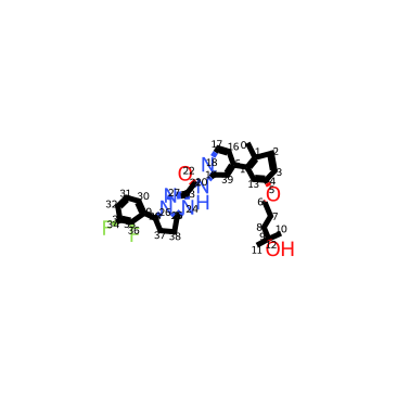 Cc1ccc(OCCCC(C)(C)O)cc1-c1ccnc(NC(=O)c2nc3n(n2)C(c2cccc(F)c2F)CC3)c1